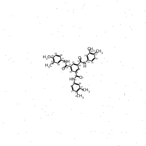 Cc1ccc(NC(=O)c2cc(C(=O)Nc3ccc(C)c(C)c3)cc(C(=O)Nc3ccc(C)c(C)c3)c2)cc1C